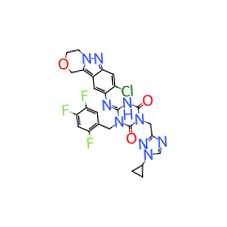 O=c1[nH]/c(=N\c2cc3c4n(nc3cc2Cl)CCOC4)n(Cc2cc(F)c(F)cc2F)c(=O)n1Cc1ncn(C2CC2)n1